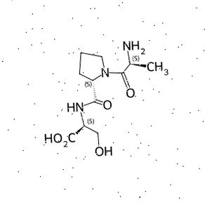 C[C@H](N)C(=O)N1CCC[C@H]1C(=O)N[C@@H](CO)C(=O)O